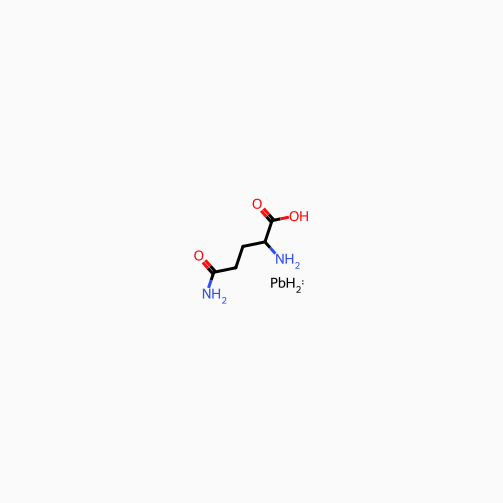 NC(=O)CCC(N)C(=O)O.[PbH2]